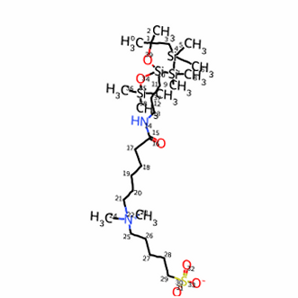 CC1(C)C[Si](C)(C)[Si](C)(C)[Si](CCCNC(=O)CCCCC[N+](C)(C)CCCCCS(=O)(=O)[O-])(O[Si](C)(C)C)O1